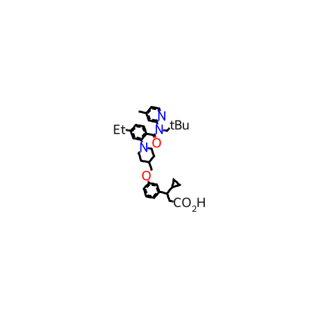 CCc1ccc(C(=O)N(CC(C)(C)C)c2cc(C)ccn2)c(N2CCC(COc3cccc(C(CC(=O)O)C4CC4)c3)CC2)c1